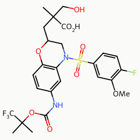 COc1cc(S(=O)(=O)N2CC(CC(C)(CO)C(=O)O)Oc3ccc(NC(=O)OC(C)(C)C(F)(F)F)cc32)ccc1F